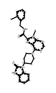 Cc1ccccc1CNC(=O)c1nc2c(N3CCC(n4c(=O)[nH]c5ccccc54)CC3)ncnc2n1C